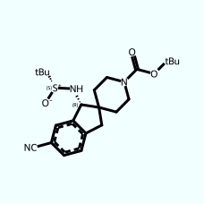 CC(C)(C)OC(=O)N1CCC2(CC1)Cc1ccc(C#N)cc1[C@@H]2N[S@+]([O-])C(C)(C)C